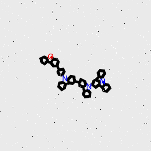 c1ccc2c(c1)oc1ccc(-c3ccc(-n4c5ccccc5c5cc(-c6ccc7c(c6)c6ccccc6n7-c6cc7c8ccccc8n8c9ccccc9c(c6)c78)ccc54)cc3)cc12